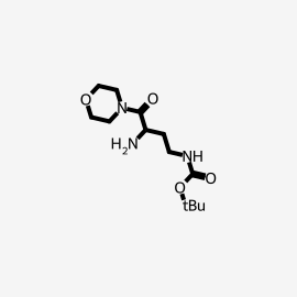 CC(C)(C)OC(=O)NCCC(N)C(=O)N1CCOCC1